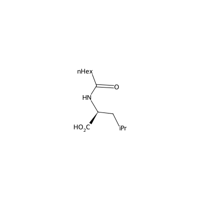 CCCCCCC(=O)N[C@@H](CC(C)C)C(=O)O